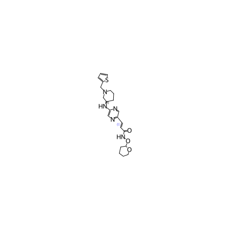 O=C(/C=C/c1cnc(N[C@@H]2CCCN(Cc3cccs3)C2)cn1)NOC1CCCCO1